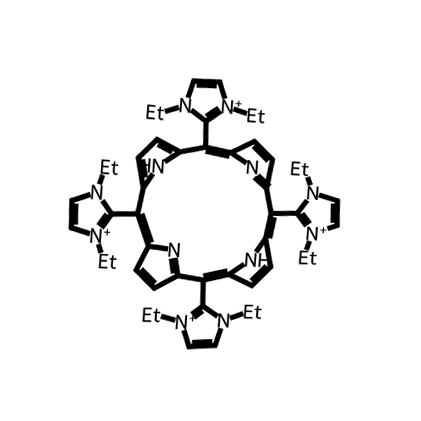 CCn1cc[n+](CC)c1-c1c2nc(c(-c3n(CC)cc[n+]3CC)c3ccc([nH]3)c(-c3n(CC)cc[n+]3CC)c3nc(c(-c4n(CC)cc[n+]4CC)c4ccc1[nH]4)C=C3)C=C2